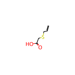 C=CCSCC(=O)O